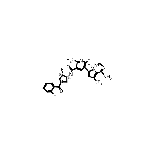 Cc1nc(C)c(-c2cc(C(F)(F)F)c3c(N)ncnn23)cc1C(=O)N[C@@H]1CN(C(=O)c2ccccc2F)C[C@@H]1F